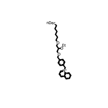 CCCCCCCCCCCCCCCCOCC(COCc1ccc(C[n+]2cccc3ccccc32)cc1)OCC